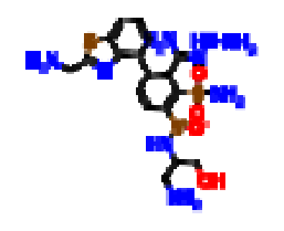 NCc1nc2c(-c3ccc([S+]([O-])NC(CN)CO)c(S(N)(=O)=O)c3/C(N)=N/NN)cccc2s1